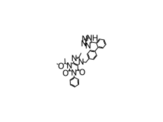 COC(C)n1c(=O)n(-c2ccccc2)c(=O)c2c1nc(C)n2Cc1ccc(-c2ccccc2-c2nnn[nH]2)cc1